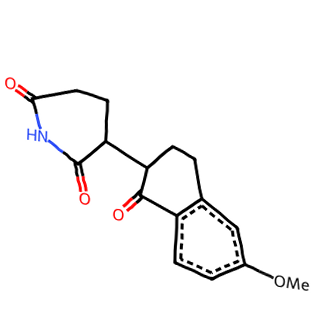 COc1ccc2c(c1)CCC(C1CCC(=O)NC1=O)C2=O